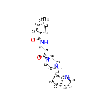 CC(C)(C)c1ccc(C(=O)NCCC(=O)N2CCN(Cc3cccc4cccnc34)CC2)cc1